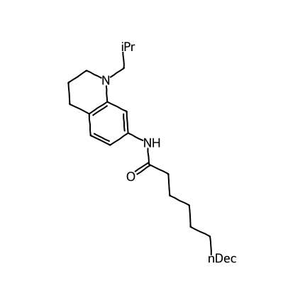 CCCCCCCCCCCCCCCC(=O)Nc1ccc2c(c1)N(CC(C)C)CCC2